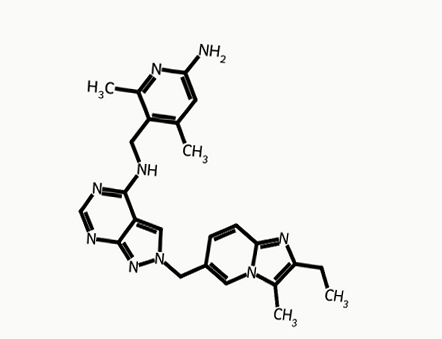 CCc1nc2ccc(Cn3cc4c(NCc5c(C)cc(N)nc5C)ncnc4n3)cn2c1C